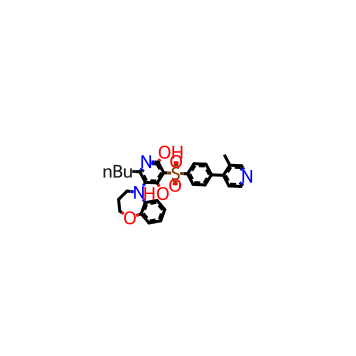 CCCCc1nc(O)c(S(=O)(=O)c2ccc(-c3ccncc3C)cc2)c(O)c1N1CCCOc2ccccc21